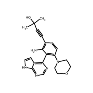 CC(C)(O)C#Cc1ccc(N2CCOCC2)c(-c2ncnc3[nH]ccc23)c1N